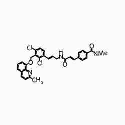 CNC(=O)c1ccc(C=CC(=O)NC/C=C/c2ccc(Cl)c(COc3cccc4ccc(C)nc34)c2Cl)cc1